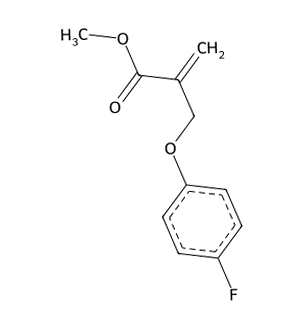 C=C(COc1ccc(F)cc1)C(=O)OC